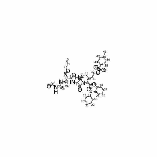 C=CCO/N=C(\C(=O)NC1C(=O)N2C(C(=O)OC(c3ccccc3)c3ccccc3)=C(/C=C/OS(=O)(=O)c3ccc(C)cc3)CS[C@H]12)c1csc(NC=O)n1